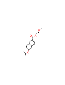 COCCOC(=O)c1ccc2cc(OC(C)C)ccc2c1